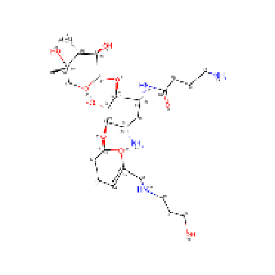 CN[C@@H]1[C@@H](O)[C@@H](O[C@@H]2[C@@H](O)[C@H](O[C@@H]3CCC=C(CNCCCO)O3)[C@@H](N)C[C@H]2NC(=O)CCCN)OC[C@]1(C)O